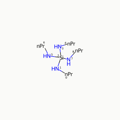 CCCN[Si](NCCC)(NCCC)NCCC